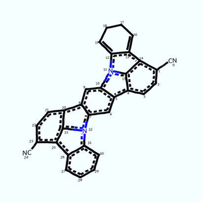 N#Cc1ccc2c3cc4c(cc3n3c5c(c1c23)=CCCC=5)c1ccc(C#N)c2c3ccccc3n4c12